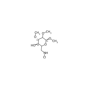 COC1[C@@H](OC)OC(CNCl)[C@@H](O)[C@@H]1OC